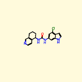 O=C(Nc1cc(Cl)c2cc[nH]c2c1)NC1CCCc2cnccc21